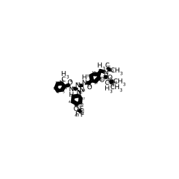 Cc1ccccc1C(=O)Nc1nc(NC(=O)c2ccc(CN(C(=O)OC(C)(C)C)C(C)C)cc2)nn1-c1ccc(OC(F)(F)F)cc1